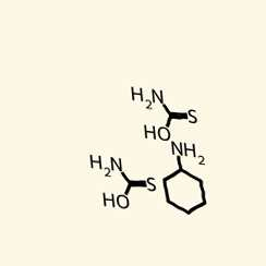 NC(O)=S.NC(O)=S.NC1CCCCC1